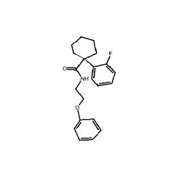 O=C(NCCOc1ccccc1)C1(c2ccccc2F)CCCCC1